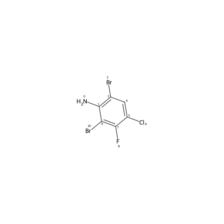 Nc1c(Br)cc(Cl)c(F)c1Br